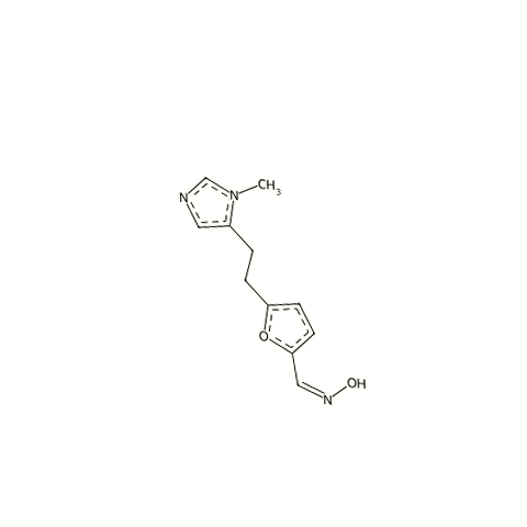 Cn1cncc1CCc1ccc(/C=N\O)o1